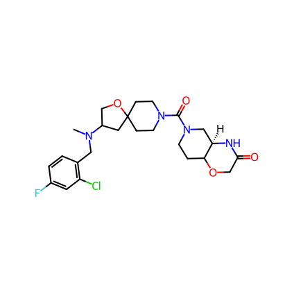 CN(Cc1ccc(F)cc1Cl)C1COC2(CCN(C(=O)N3CCC4OCC(=O)N[C@@H]4C3)CC2)C1